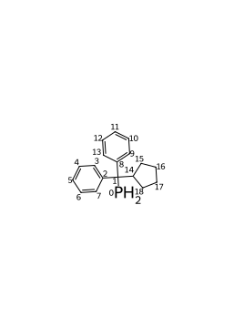 PC(c1ccccc1)(c1ccccc1)C1CCCC1